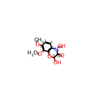 COc1ccc2c(c1OC)OC(O)C(=O)N2O